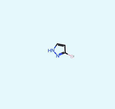 [B]c1cc[nH]n1